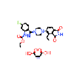 CCOC(=O)n1nc(N2CCN(c3ccc4c(c3CC)C(=O)NC4=O)CC2)c2ccc(F)cc21.O=C(O)/C=C\C(=O)O